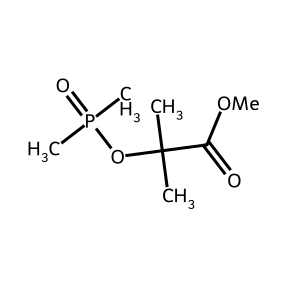 COC(=O)C(C)(C)OP(C)(C)=O